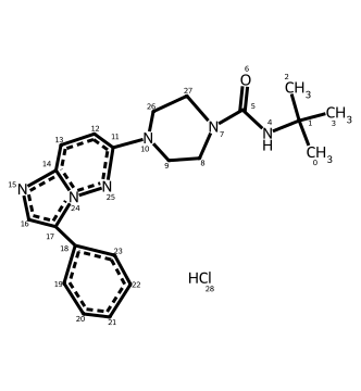 CC(C)(C)NC(=O)N1CCN(c2ccc3ncc(-c4ccccc4)n3n2)CC1.Cl